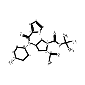 CC(C)(C)OC(=O)N1C[C@H](N(C(=O)c2ccco2)[C@H]2CC[C@@H](C)CC2)C[C@H]1C(=O)O